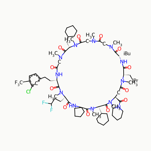 CC[C@H](C)[C@@H]1NC(=O)[C@H](CC(C)C)N(C)C(=O)C[C@@H](C(=O)N2CCCCC2)N(C)C(=O)[C@H](C2CCCCC2)N(C)C(=O)C2(CCCC2)NC(=O)[C@H](CCC(F)F)N(C)C(=O)[C@H](CCc2ccc(C(F)(F)F)c(Cl)c2)NC(=O)CN(C)C(=O)[C@H](CC2CCCCC2)N(C)C(=O)CN(C)C(=O)CN(C)C1=O